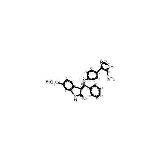 CCOC(=O)c1ccc2c(c1)NC(=O)C2=C(Nc1ccc(-c2nc[nH]c2C)cc1)c1ccccc1